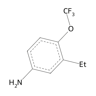 CCc1cc(N)ccc1OC(F)(F)F